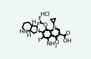 Cl.Nc1c(F)c(N2C[C@H]3CCCN[C@H]3C2)c(OC(F)F)c2c1c(=O)c(C(=O)O)cn2C1CC1